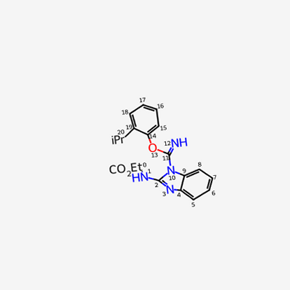 CCOC(=O)Nc1nc2ccccc2n1C(=N)Oc1ccccc1C(C)C